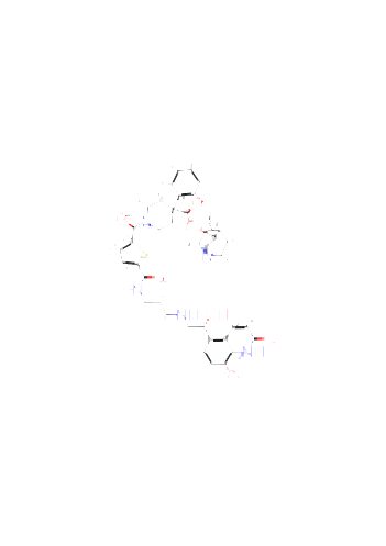 CN(CCCNCC(O)c1ccc(O)c2[nH]c(=O)ccc12)C(=O)c1ccc(C(=O)N2CCC(C(=O)O[C@H]3CN4CCC3CC4)(c3ccccc3)CC2)s1